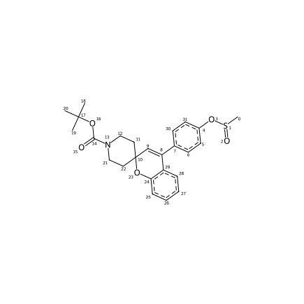 CS(=O)Oc1ccc(C2=CC3(CCN(C(=O)OC(C)(C)C)CC3)Oc3ccccc32)cc1